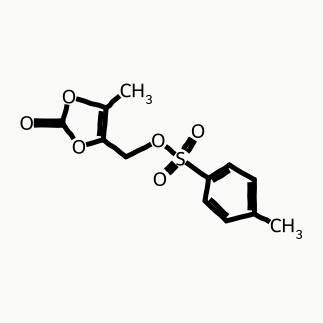 Cc1ccc(S(=O)(=O)OCc2oc(=O)oc2C)cc1